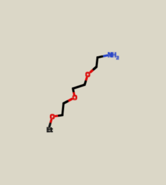 CCOCCOCCOCCN